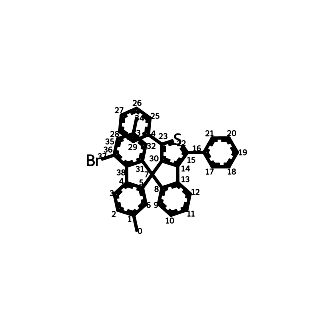 Cc1ccc2c(c1)C1(c3ccccc3-c3c(-c4ccccc4)sc(-c4ccccc4)c31)c1cc(C)cc(Br)c1-2